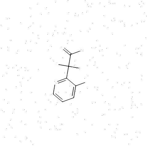 Cc1cccnc1C(F)(F)C(N)=O